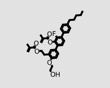 C=C(C)C(=O)OCCc1cc(-c2ccc(-c3ccc(CCCCC)cc3)c(F)c2OC(=O)C(=C)C)ccc1OCCO